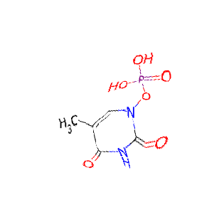 Cc1cn(OP(=O)(O)O)c(=O)[nH]c1=O